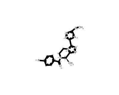 CSc1nsc(-c2nnc3n2CCN(C(=O)c2ccc(F)cc2)[C@@H]3C)n1